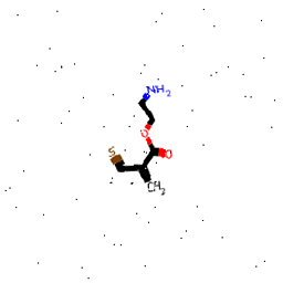 C=C(C=S)C(=O)OCCN